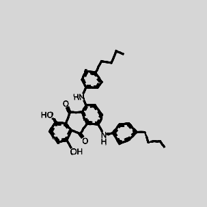 CCCCc1ccc(Nc2ccc(Nc3ccc(CCCC)cc3)c3c2C(=O)c2c(O)ccc(O)c2C3=O)cc1